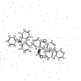 C1=CC(c2ccccc2)CC2=C1Oc1ccc(-c3cccc4c3c3ccccc3n4-c3ccccc3)cc1C21c2ccccc2Oc2ccccc21